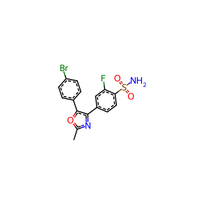 Cc1nc(-c2ccc(S(N)(=O)=O)c(F)c2)c(-c2ccc(Br)cc2)o1